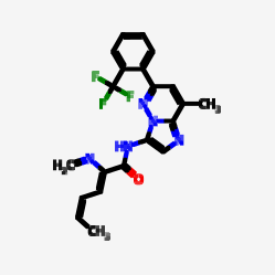 C=N/C(=C\C=C/C)C(=O)Nc1cnc2c(C)cc(-c3ccccc3C(F)(F)F)nn12